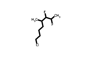 CC(F)C(F)C(C)CCCCCl